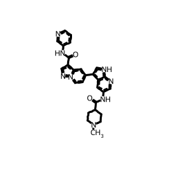 CN1CCC(C(=O)Nc2cnc3[nH]cc(-c4ccn5ncc(C(=O)Nc6cccnc6)c5c4)c3c2)CC1